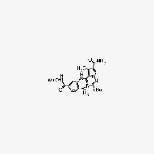 CCCCc1nc(Nc2cc(C(=O)NOC)ccc2C)c2c(C)c(C(N)=O)cn2n1